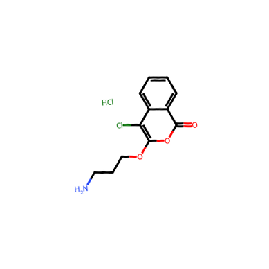 Cl.NCCCOc1oc(=O)c2ccccc2c1Cl